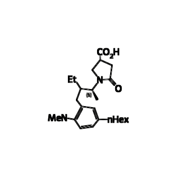 CCCCCCc1ccc(NC)c(CC(CC)[C@H](C)N2CC(C(=O)O)CC2=O)c1